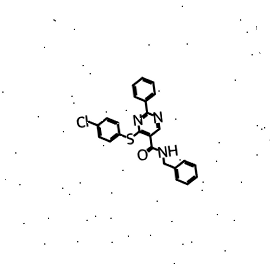 O=C(NCc1ccccc1)c1cnc(-c2ccccc2)nc1Sc1ccc(Cl)cc1